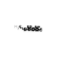 C=CCCc1ccc(-c2ccc(C3CC=C(c4ccc(C5CO5)c(F)c4F)CC3)c(F)c2F)cc1